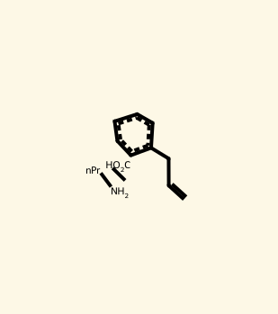 C=CCc1ccccc1.CC(=O)O.CCCN